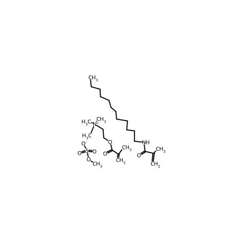 C=C(C)C(=O)NCCCCCCCCCCCC.C=C(C)C(=O)OCC[N+](C)(C)C.COS(=O)(=O)[O-]